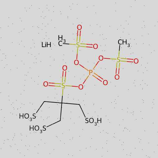 CS(=O)(=O)OP(=O)(OS(C)(=O)=O)OS(=O)(=O)C(CS(=O)(=O)O)(CS(=O)(=O)O)CS(=O)(=O)O.[LiH]